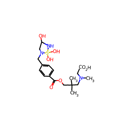 CN(CC(=O)O)CC(C)(C)COC(=O)c1ccc(CN2CC(O)NS2(O)O)cc1